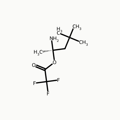 CC(C)(C)C[C@](C)(N)OC(=O)C(F)(F)F